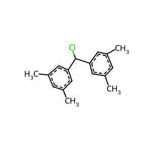 Cc1cc(C)cc(C(Cl)c2cc(C)cc(C)c2)c1